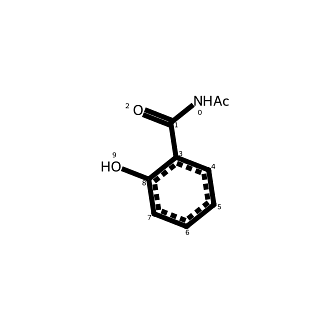 CC(=O)NC(=O)c1ccccc1O